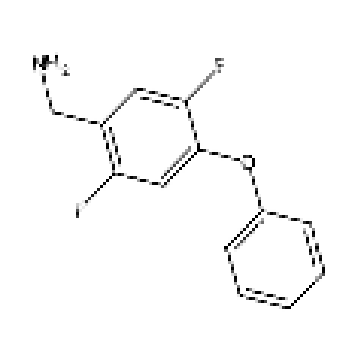 NCc1cc(F)c(Oc2ccccc2)cc1F